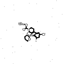 CC(C)(C)OC(=O)N1CCc2c([nH]c3c(I)cc(Cl)cc23)[C@@H]1C[C@@H]1CCCOC1